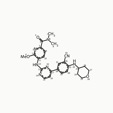 COc1nc(C(=O)N(C)C)ccc1Nc1nccc(-c2ccc(NC3CCOCC3)c(C#N)c2)n1